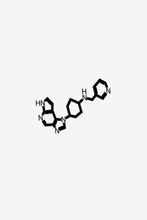 c1cncc(CNC2CCC(n3cnc4cnc5[nH]ccc5c43)CC2)c1